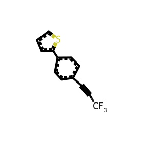 FC(F)(F)C#Cc1ccc(-c2cccs2)cc1